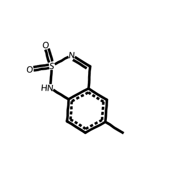 Cc1ccc2c(c1)C=NS(=O)(=O)N2